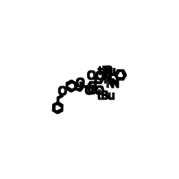 CC(C)(C)OC(=O)C(CCn1nnc2ccccc2c1=O)(CC(=O)c1cc2cc(OCCc3ccccc3)ccc2o1)C(=O)OC(C)(C)C